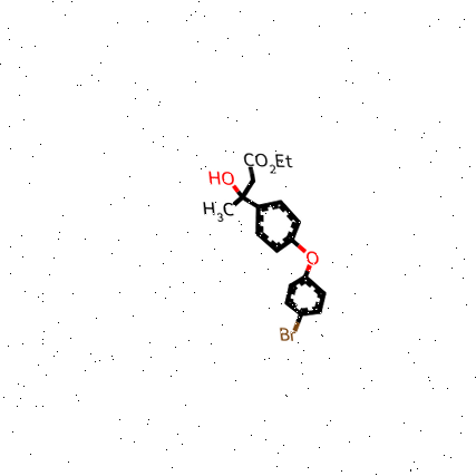 CCOC(=O)CC(C)(O)c1ccc(Oc2ccc(Br)cc2)cc1